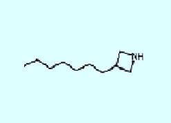 CCCCCCCC1CNC1